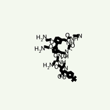 Cc1nc(-c2ccc(C(C)(C)C)cc2)c([N+](=O)[O-])cc1C(=O)N[C@@H](CCN)C(=O)N(C)[C@@H]1C(=O)N[C@@H](C)C(=O)N[C@H](C(=O)NCC#N)Cc2ccc(OCCN)c(c2)-c2cc1ccc2OCCN